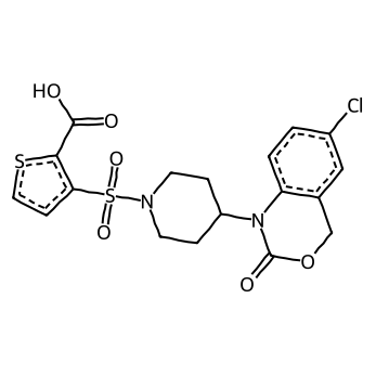 O=C(O)c1sccc1S(=O)(=O)N1CCC(N2C(=O)OCc3cc(Cl)ccc32)CC1